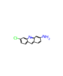 Nc1ccc2cc3ccc(Cl)cc3nc2c1